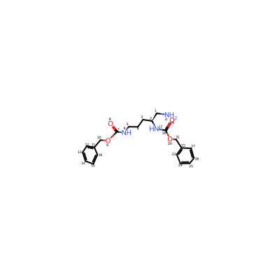 NC[C@H](CCCNC(=O)OCc1ccccc1)NC(=O)OCc1ccccc1